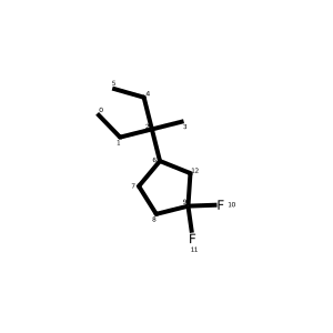 CCC(C)(CC)C1CCC(F)(F)C1